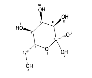 [O][C@]1(O)O[C@H](CO)[C@@H](O)[C@@H](O)[C@H]1O